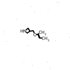 C/C=C(\C)OCC1CNC1